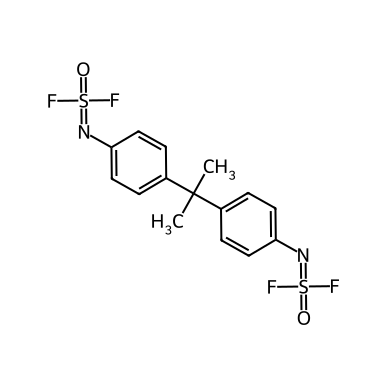 CC(C)(c1ccc(N=S(=O)(F)F)cc1)c1ccc(N=S(=O)(F)F)cc1